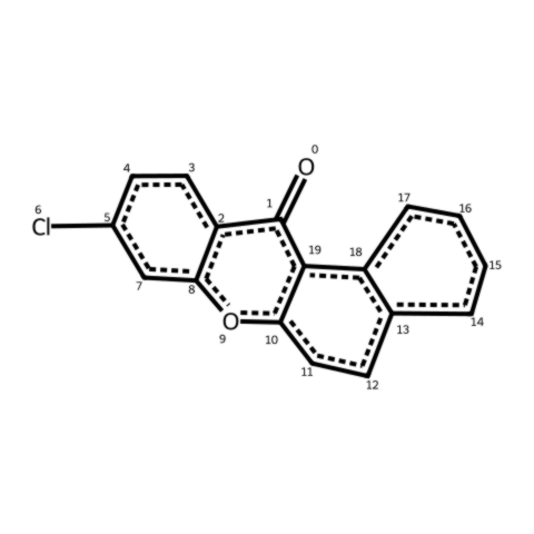 O=c1c2ccc(Cl)cc2oc2ccc3ccccc3c12